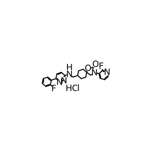 Cl.O=C1OC2(CCC(CNc3ccc(-c4ccccc4F)nn3)CC2)CN1c1cccnc1F